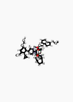 C=N/C(=C1/C=NC(c2cc(OCOC)cc(Cl)c2C2CC2)=C(F)/C1=N/COC[C@]12CCCN1[C@H](COC)CC2)N1CC2CCC(C1)N2C(=O)OC(C)(C)C